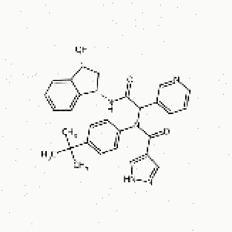 CC(C)(C)c1ccc(N(C(=O)c2cn[nH]c2)C(C(=O)N[C@H]2C[C@@H](O)c3ccccc32)c2cccnc2)cc1